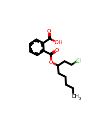 CCCCCC(CCCl)OC(=O)c1ccccc1C(=O)O